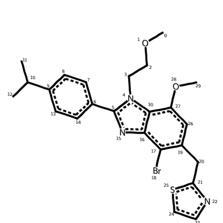 COCCn1c(-c2ccc(C(C)C)cc2)nc2c(Br)c(Cc3nccs3)cc(OC)c21